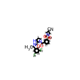 CC(NC(=O)[C@H]1CCCN1C(=O)c1cccc(S(=O)(=O)N2CC(C#N)C2)c1)c1cc(F)cc(F)c1